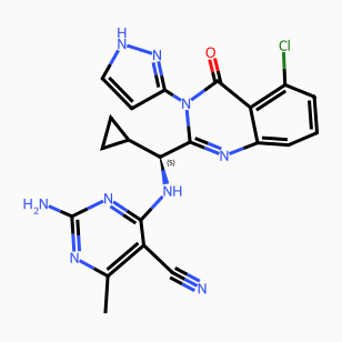 Cc1nc(N)nc(N[C@H](c2nc3cccc(Cl)c3c(=O)n2-c2cc[nH]n2)C2CC2)c1C#N